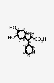 O=C(O)c1[nH]c2cc(O)c(O)cc2c1-c1cccnc1